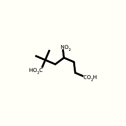 CC(C)(CC(CCC(=O)O)[N+](=O)[O-])C(=O)O